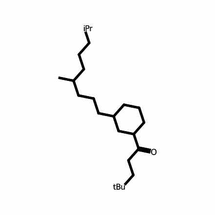 CC(C)CCCC(C)CCCC1CCCC(C(=O)CCC(C)(C)C)C1